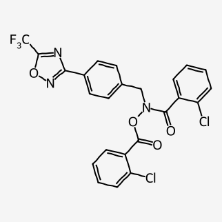 O=C(ON(Cc1ccc(-c2noc(C(F)(F)F)n2)cc1)C(=O)c1ccccc1Cl)c1ccccc1Cl